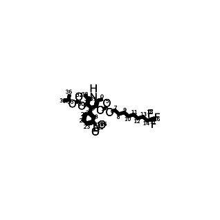 CC1=C(OC(=O)OCCCCCCCCC(F)(F)F)C(c2cccc([N+](=O)[O-])c2)C(OC(=O)OC(C)C)=C(C)N1